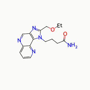 CCOCc1nc2cnc3cccnc3c2n1CCCC(N)=O